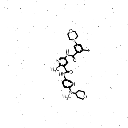 Cc1ncc(NC(=O)c2cc(F)cc(N3CCOCC3)c2)cc1C(=O)Nc1ccc(N(C)C2CCOCC2)nc1